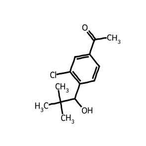 CC(=O)c1ccc(C(O)C(C)(C)C)c(Cl)c1